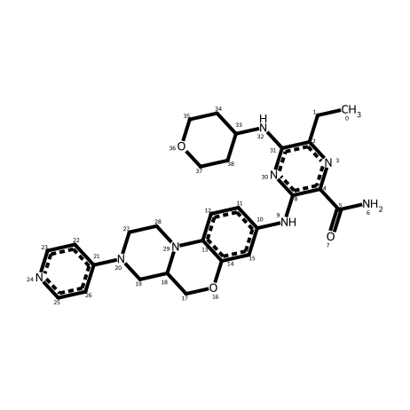 CCc1nc(C(N)=O)c(Nc2ccc3c(c2)OCC2CN(c4ccncc4)CCN32)nc1NC1CCOCC1